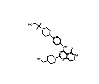 CC(C)(CO)N1CCN(c2ccc([AsH]c3nc(N4CCC(CC#N)CC4)nc4cn[nH]c(=O)c34)cc2)CC1